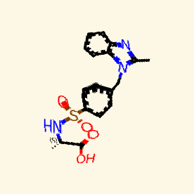 Cc1nc2ccccc2n1Cc1ccc(S(=O)(=O)N[C@@H](C)C(=O)O)cc1